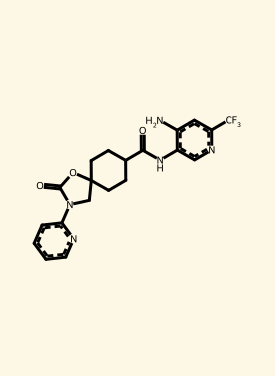 Nc1cc(C(F)(F)F)ncc1NC(=O)C1CCC2(CC1)CN(c1ccccn1)C(=O)O2